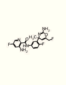 C[C@@]1(c2cc(NC(=O)c3ncc(F)cc3N)ccc2F)C=C(CF)OC(N)=N1